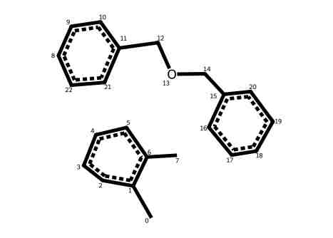 Cc1ccccc1C.c1ccc(COCc2ccccc2)cc1